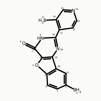 Bc1ccc2oc3c(=O)[nH]c(-c4ccncc4B)nc3c2c1